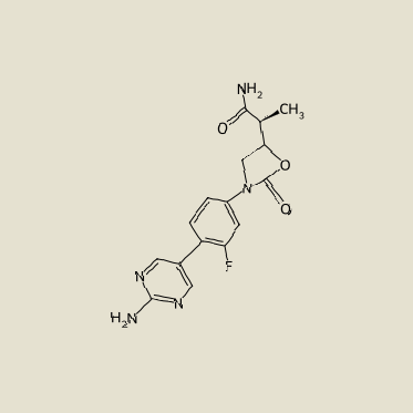 C[C@H](C(N)=O)C1CN(c2ccc(-c3cnc(N)nc3)c(F)c2)C(=O)O1